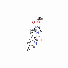 CC(C)(C)OC(=O)N1CCN2C[C@](O)(c3ccc(C(F)(F)F)cn3)CC[C@H]2C1